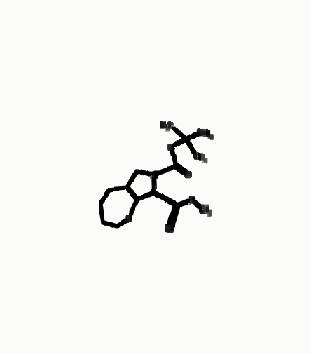 COC(=O)C1C2OCCCCC2CN1C(=O)OC(C)(C)C